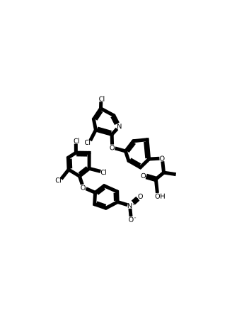 CC(Oc1ccc(Oc2ncc(Cl)cc2Cl)cc1)C(=O)O.O=[N+]([O-])c1ccc(Oc2c(Cl)cc(Cl)cc2Cl)cc1